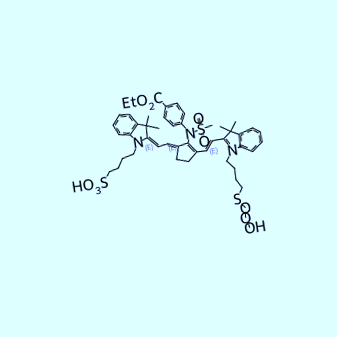 CCOC(=O)c1ccc(N(C2=C(/C=C/C3=[N+](CCCCSOOO)c4ccccc4C3(C)C)CC/C2=C\C=C2\N(CCCCS(=O)(=O)O)c3ccccc3C2(C)C)S(C)(=O)=O)cc1